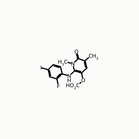 Cc1cc(OC(=O)O)c(Nc2ccc(I)cc2F)n(C)c1=O